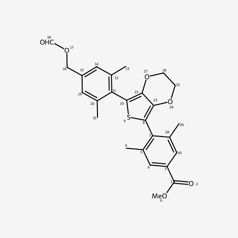 COC(=O)c1cc(C)c(-c2sc(-c3c(C)cc(COC=O)cc3C)c3c2OCCO3)c(C)c1